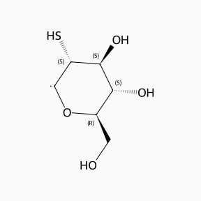 OC[C@H]1O[CH][C@H](S)[C@@H](O)[C@@H]1O